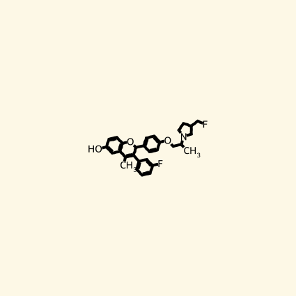 CC1=C(c2cccc(F)c2)C(c2ccc(OCC(C)N3CCC(CF)C3)cc2)Oc2ccc(O)cc21